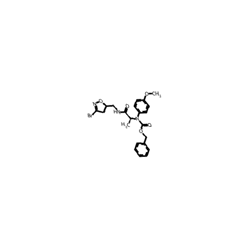 COc1ccc(N(C(=O)OCc2ccccc2)[C@@H](C)C(=O)NCC2CC(Br)=NO2)cc1